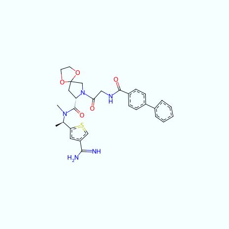 C[C@H](c1cc(C(=N)N)cs1)N(C)C(=O)[C@@H]1CC2(CN1C(=O)CNC(=O)c1ccc(-c3ccccc3)cc1)OCCO2